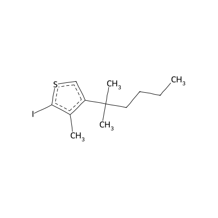 CCCCC(C)(C)c1csc(I)c1C